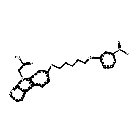 O=C(O)Cn1c2ccccc2c2ccc(OCCCCCOc3cccc([N+](=O)[O-])c3)cc21